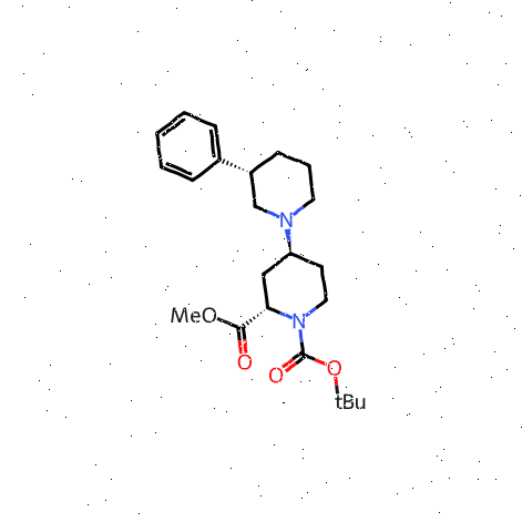 COC(=O)[C@@H]1C[C@@H](N2CCC[C@@H](c3ccccc3)C2)CCN1C(=O)OC(C)(C)C